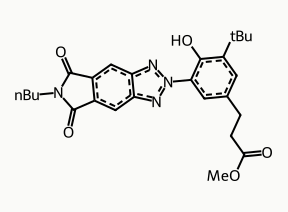 CCCCN1C(=O)c2cc3nn(-c4cc(CCC(=O)OC)cc(C(C)(C)C)c4O)nc3cc2C1=O